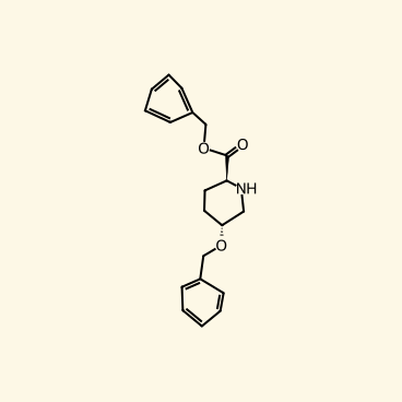 O=C(OCc1ccccc1)[C@@H]1CC[C@@H](OCc2ccccc2)CN1